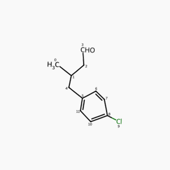 CC(CC=O)Cc1ccc(Cl)cc1